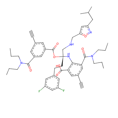 C#Cc1cc(C(=O)O[C@](CCc2cc(F)cc(F)c2)(CNCc2cc(CC(C)C)no2)Nc2c(C(=O)O)cc(C#C)cc2C(=O)N(CCC)CCC)cc(C(=O)N(CCC)CCC)c1